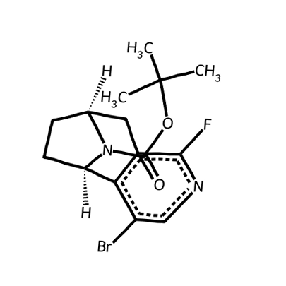 CC(C)(C)OC(=O)N1[C@H]2CC[C@@H]1c1c(Br)cnc(F)c1C2